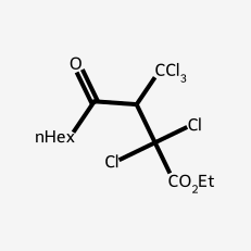 CCCCCCC(=O)C(C(Cl)(Cl)Cl)C(Cl)(Cl)C(=O)OCC